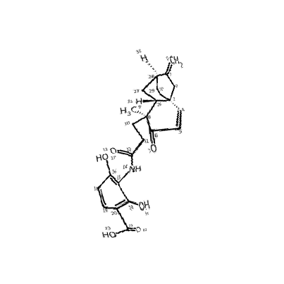 C=C1C[C@@]23C=CC(=O)[C@@](C)(CCC(=O)Nc4c(O)ccc(C(=O)O)c4O)[C@@H]2C[C@@H]1CC3